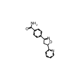 NC(=O)c1ccc(C2=NOC(c3ccccn3)C2)cc1